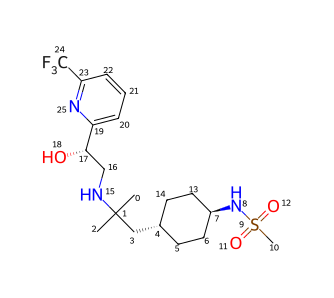 CC(C)(C[C@H]1CC[C@H](NS(C)(=O)=O)CC1)NC[C@H](O)c1cccc(C(F)(F)F)n1